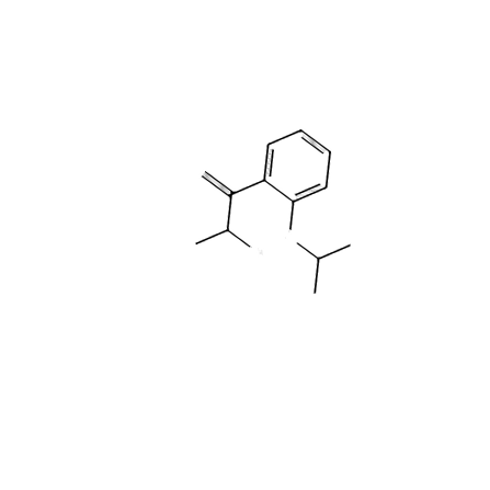 C=C(c1ccccc1OC(C)C)C(C)Br